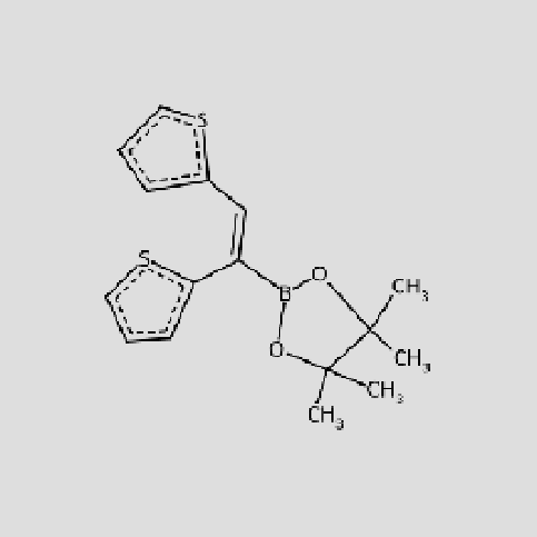 CC1(C)OB(C(=Cc2cccs2)c2cccs2)OC1(C)C